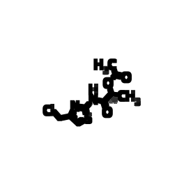 CC(=O)O[C@@H](C)C(=O)Nc1nc(CCl)cs1